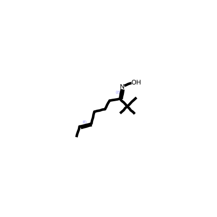 C/C=C/CCC/C(=N/O)C(C)(C)C